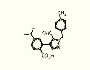 Cc1ccc(Cn2ncc(-c3cc(C(F)F)ccc3C(=O)O)c2C=O)cc1